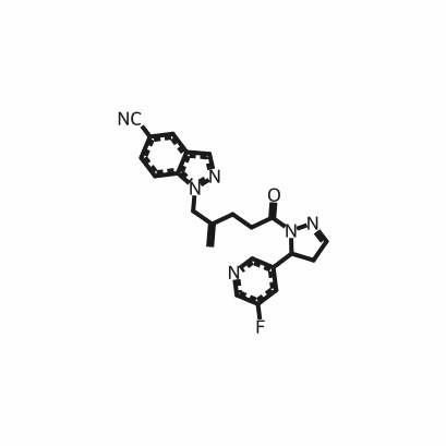 C=C(CCC(=O)N1N=CCC1c1cncc(F)c1)Cn1ncc2cc(C#N)ccc21